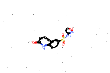 O=c1ccc2cc(S(=O)(=O)Nc3ccon3)ccc2[nH]1